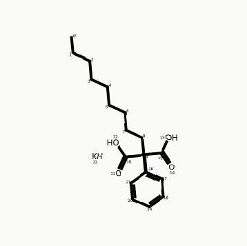 CCCCCCCCCC(C(=O)O)(C(=O)O)c1ccccc1.[KH]